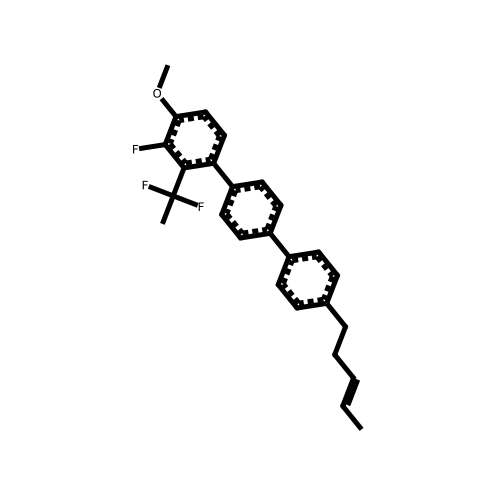 C/C=C/CCc1ccc(-c2ccc(-c3ccc(OC)c(F)c3C(C)(F)F)cc2)cc1